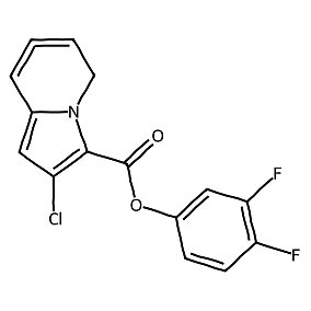 O=C(Oc1ccc(F)c(F)c1)c1c(Cl)cc2n1CC=C=C2